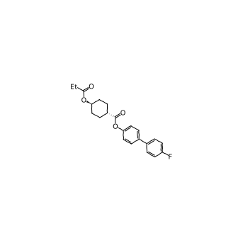 CCC(=O)O[C@H]1CC[C@H](C(=O)Oc2ccc(-c3ccc(F)cc3)cc2)CC1